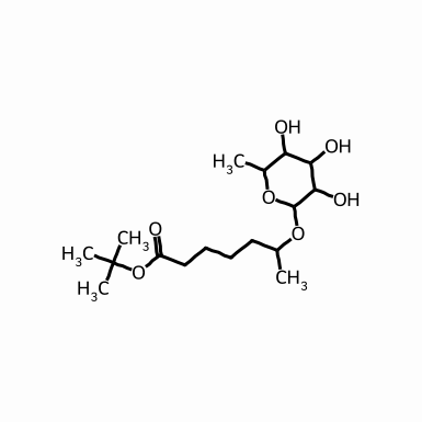 CC(CCCCC(=O)OC(C)(C)C)OC1OC(C)C(O)C(O)C1O